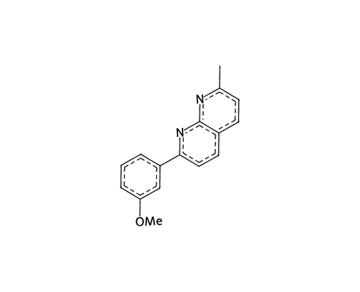 COc1cccc(-c2ccc3ccc(C)nc3n2)c1